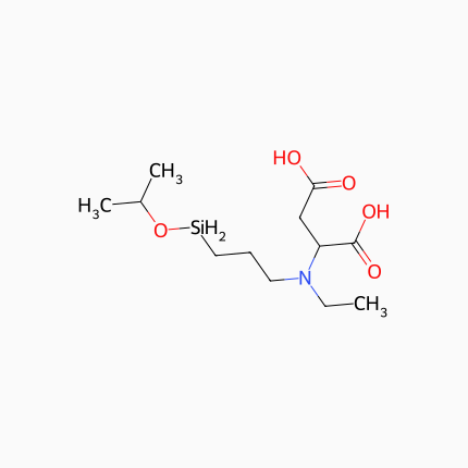 CCN(CCC[SiH2]OC(C)C)C(CC(=O)O)C(=O)O